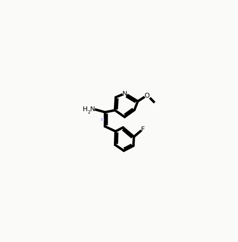 COc1ccc(/C(N)=C\c2cccc(F)c2)cn1